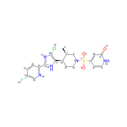 C[C@H]1CN(S(=O)(=O)c2cc[nH]c(=O)c2)CC[C@H]1c1[nH]c(-c2ccc(F)cn2)nc1Cl